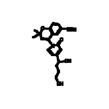 CC1(C)C=C(n2ccc(C(O)CCCO)cc2=O)c2cc(C#N)ccc2O1